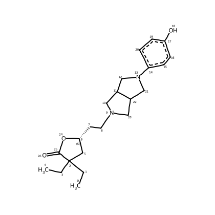 CCC1(CC)C[C@@H](CCN2CC3CN(c4ccc(O)cc4)CC3C2)OC1=O